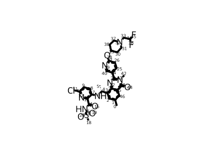 Cc1cc([C@@H](C)Nc2ccc(Cl)nc2C(=O)NS(C)(=O)=O)c2nc(-c3ccc(OC4CCN(CC(F)F)CC4)nc3)n(C)c(=O)c2c1